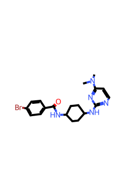 CN(C)c1ccnc(NC2CCC(NC(=O)c3ccc(Br)cc3)CC2)n1